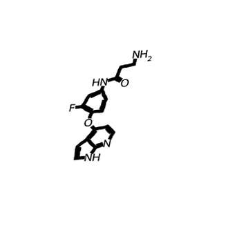 NCCC(=O)Nc1ccc(Oc2ccnc3[nH]ccc23)c(F)c1